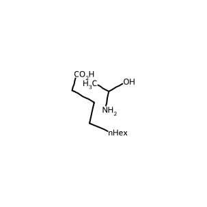 CC(N)O.CCCCCCCCCC(=O)O